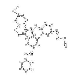 COc1ccc2c(c1)CCc1c-2n(Cc2ccc(OCCCl)cc2)c2ccc(OCc3ccccc3)cc12